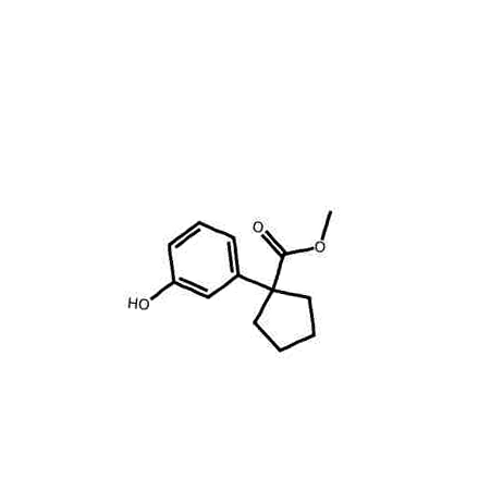 COC(=O)C1(c2cccc(O)c2)CCCC1